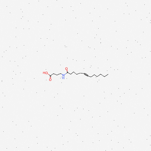 CCCCCCC#CCCCCC(=O)NCCCC(=O)O